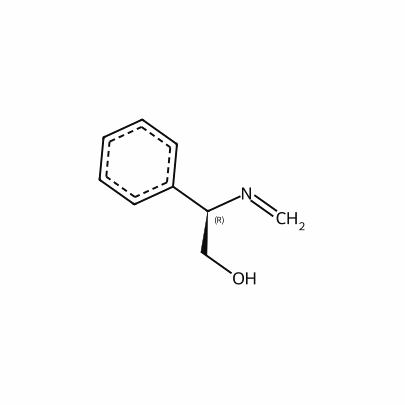 C=N[C@@H](CO)c1ccccc1